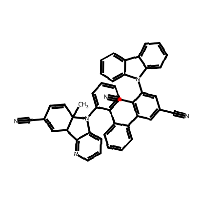 CC12C=CC(C#N)=CC1c1ncccc1N2c1ccccc1-c1ccccc1-c1cc(C#N)cc(-n2c3ccccc3c3ccccc32)c1C#N